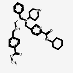 COC(=O)c1ccc(CNC[C@H](c2ccccc2)N(Cc2ccc(C(=O)NC3CCCCC3)nc2)C2CCNCC2)cc1